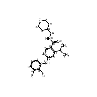 CC(C)c1cc(Nc2cccc(F)c2F)ncc1C(=O)NCC1CCOCC1